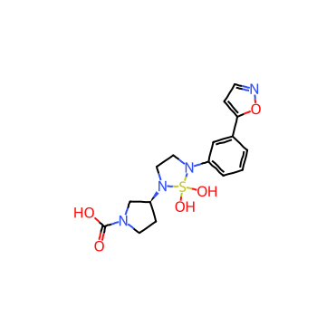 O=C(O)N1CC[C@H](N2CCN(c3cccc(-c4ccno4)c3)S2(O)O)C1